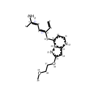 C=C/C(=C\C=C(/C)N)Sc1ccnc2cc(OCCOC)nn12